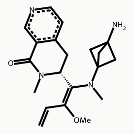 C=C/C(OC)=C(\[C@H]1Cc2ccncc2C(=O)N1C)N(C)C12CC(N)(C1)C2